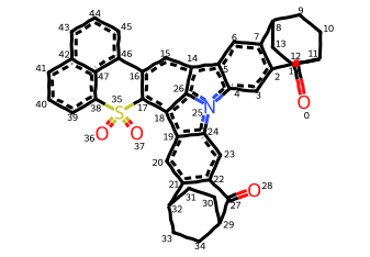 O=C1c2cc3c(cc2C2CCC1CC2)c1cc2c(c4c5cc6c(cc5n3c14)C(=O)C1CCC6CC1)S(=O)(=O)c1cccc3cccc-2c13